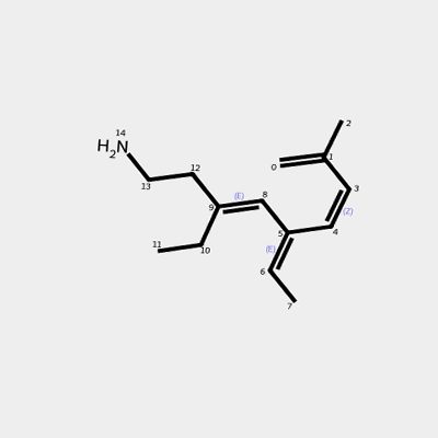 C=C(C)\C=C/C(=C\C)/C=C(\CC)CCN